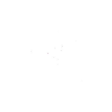 OC1(c2cc(Cc3ccc4c(c3)CC4)ccc2OCc2ccccc2)O[C@H](COCc2ccccc2)[C@@H](OCc2ccccc2)[C@H](OCc2ccccc2)[C@H]1OCc1ccccc1